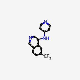 FC(F)(F)c1ccc2cncc(Nc3ccncc3)c2c1